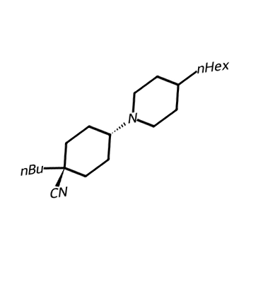 CCCCCCC1CCN([C@H]2CC[C@@](C#N)(CCCC)CC2)CC1